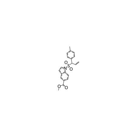 C=CC(c1ccc(C)cc1)S(=O)(=O)n1ccc2cc(C(=O)OC)ccc21